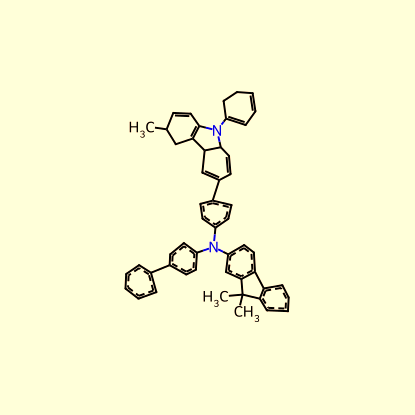 CC1C=CC2=C(C1)C1C=C(c3ccc(N(c4ccc(-c5ccccc5)cc4)c4ccc5c(c4)C(C)(C)c4ccccc4-5)cc3)C=CC1N2C1=CC=CCC1